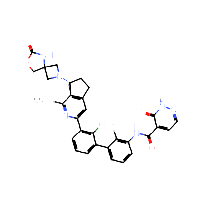 COc1nc(-c2cccc(-c3cccc(NC(=O)c4ccnn(C)c4=O)c3C)c2Cl)cc2c1[C@@H](N1CC3(COC(=O)N3)C1)CC2